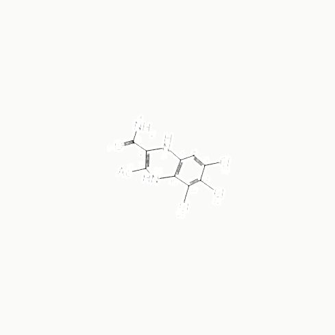 CC(=O)C1=C(C(N)=O)Nc2cc(Cl)c(Cl)c(Cl)c2N1